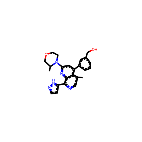 Cc1cnc(-c2ccn[nH]2)c2nc(N3CCOCC3C)cc(-c3cccc(CO)c3)c12